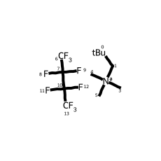 CC(C)(C)C[N+](C)(C)C.FC(F)(F)C(F)(F)C(F)(F)C(F)(F)F